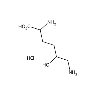 Cl.NCC(O)CCC(N)C(=O)O